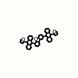 c1coc(-c2c3ccccc3c(-c3ccc4oc5c(-c6c7ccccc7c(-c7ccco7)c7ccccc67)cccc5c4c3)c3ccccc23)c1